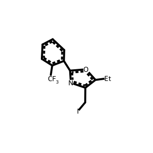 CCc1oc(-c2ccccc2C(F)(F)F)nc1CI